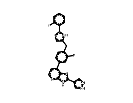 Fc1cc(-c2ccnc3[nH]c(-c4cn[nH]c4)nc23)ccc1Cc1cnc(-c2ccccc2F)[nH]1